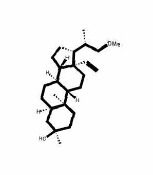 C=C[C@]12CC[C@H]3[C@@H](CC[C@@H]4C[C@](C)(O)CC[C@@]43C)[C@@H]1CC[C@@H]2[C@H](C)COC